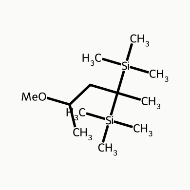 COC(C)CC(C)([Si](C)(C)C)[Si](C)(C)C